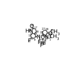 CCC(CC(O)(C=Nc1cc(F)cc2[nH]c(=O)ccc12)C(F)(F)F)c1ccccc1OC